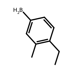 Bc1ccc(CC)c(C)c1